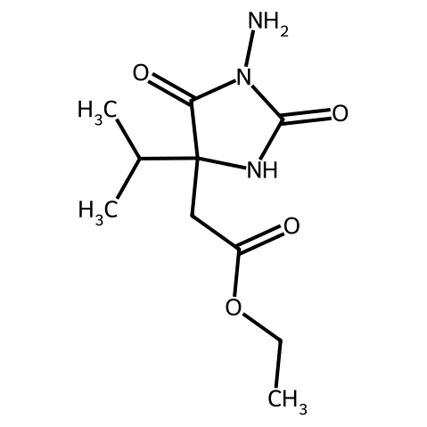 CCOC(=O)CC1(C(C)C)NC(=O)N(N)C1=O